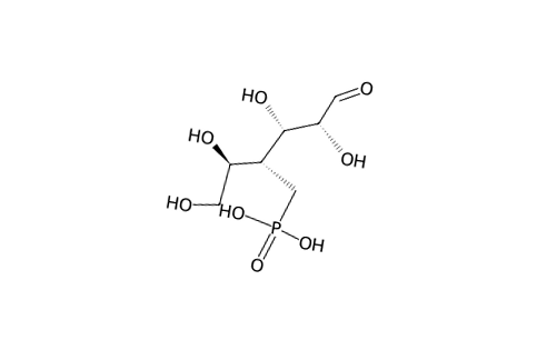 O=C[C@H](O)[C@@H](O)[C@H](CP(=O)(O)O)[C@H](O)CO